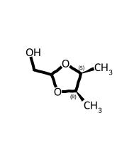 C[C@@H]1OC(CO)O[C@@H]1C